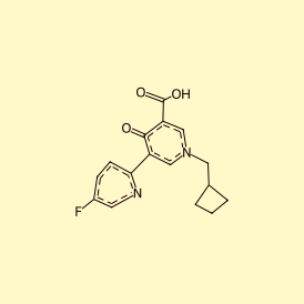 O=C(O)c1cn(CC2CCC2)cc(-c2ccc(F)cn2)c1=O